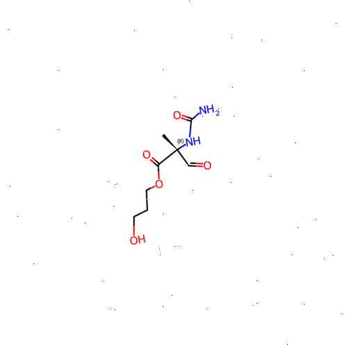 C[C@](C=O)(NC(N)=O)C(=O)OCCCO